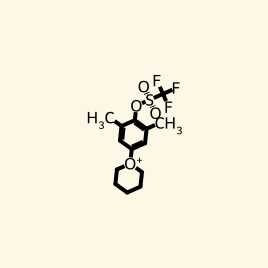 Cc1cc([O+]2CCCCC2)cc(C)c1OS(=O)(=O)C(F)(F)F